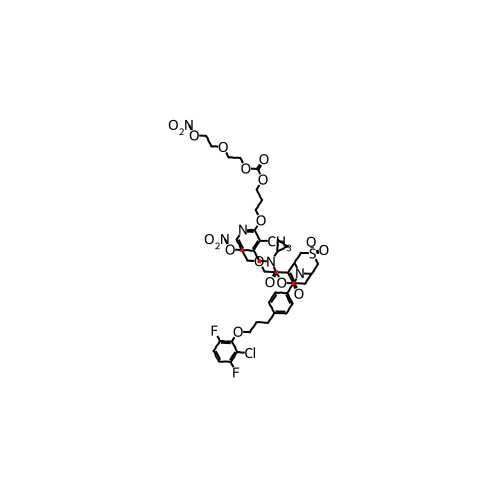 Cc1c(CN(C(=O)C2=C(c3ccc(CCCOc4c(F)ccc(F)c4Cl)cc3)CC3CS(=O)(=O)CC2N3C(=O)OCCOCCO[N+](=O)[O-])C2CC2)ccnc1OCCCOC(=O)OCCOCCO[N+](=O)[O-]